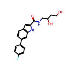 O=C(NCC(O)CCO)c1cc2ccc(-c3ccc(F)cc3)cc2[nH]1